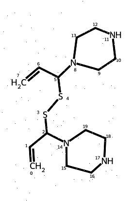 C=CC(SSC(C=C)N1CCNCC1)N1CCNCC1